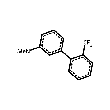 CNc1cccc(-c2ccccc2C(F)(F)F)c1